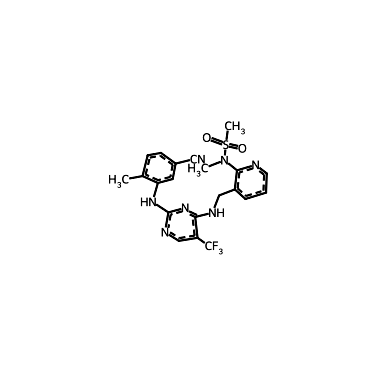 Cc1ccc(C#N)cc1Nc1ncc(C(F)(F)F)c(NCc2cccnc2N(C)S(C)(=O)=O)n1